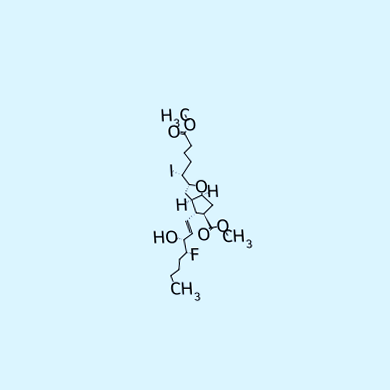 CCCC[C@@H](F)[C@H](O)/C=C/[C@@H]1[C@H]2C[C@H]([C@H](I)CCCC(=O)OC)O[C@H]2C[C@H]1C(=O)OC